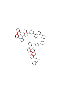 c1ccc(-c2cccc(-c3ccccc3N(c3ccc(-c4cccc(-c5cccc(-c6cccc7c(-c8cccc(-c9ccc(N(c%10ccccc%10-c%10ccccc%10)c%10ccccc%10-c%10cccc(-c%11ccccc%11)c%10)cc9)c8)cccc67)c5)c4)cc3)c3ccc(-c4cccc(-c5cccc6ccccc56)c4)cc3)c2)cc1